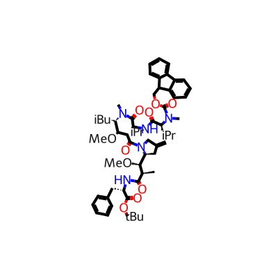 C=C1C[C@@H]([C@H](OC)[C@@H](C)C(=O)N[C@@H](Cc2ccccc2)C(=O)OC(C)(C)C)N(C(=O)C[C@@H](OC)[C@H]([C@@H](C)CC)N(C)C(=O)[C@@H](NC(=O)[C@H](C(C)C)N(C)C(=O)OCC2c3ccccc3-c3ccccc32)C(C)C)C1